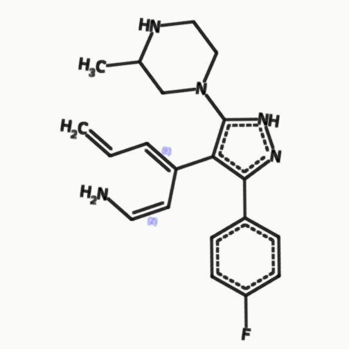 C=C/C=C(\C=C/N)c1c(-c2ccc(F)cc2)n[nH]c1N1CCNC(C)C1